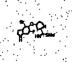 CSC(=N)c1cc(Oc2c(F)cc3[nH]ccc3c2Br)ccn1